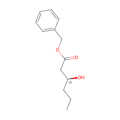 CCC[C@H](O)CC(=O)OCc1ccccc1